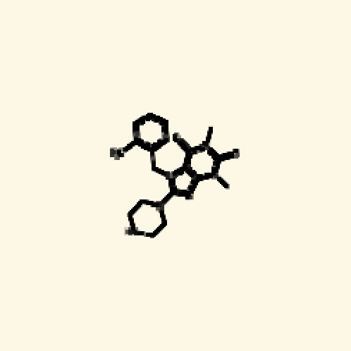 Cn1c(=O)c2c(nc(N3CCNCC3)n2Cc2ccccc2C(F)(F)F)n(C)c1=O